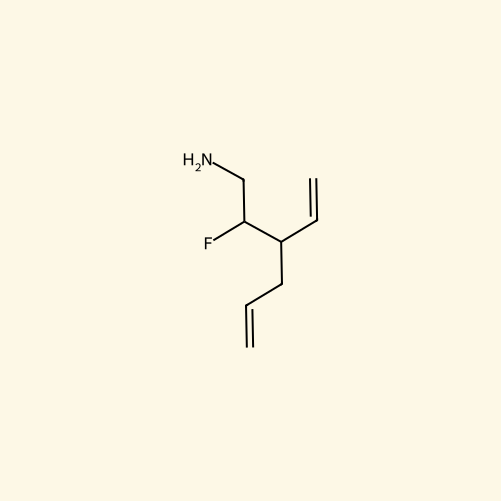 C=CCC(C=C)C(F)CN